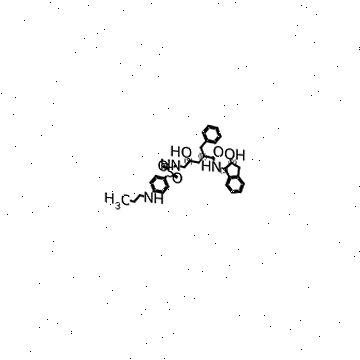 CCCNc1ccc(S(=O)(=O)NC[C@@H](O)C[C@@H](Cc2ccccc2)C(=O)N[C@H]2c3ccccc3C[C@H]2O)cc1